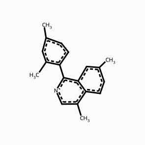 Cc1ccc(-c2ncc(C)c3ccc(C)cc23)c(C)c1